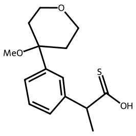 COC1(c2cccc(C(C)C(O)=S)c2)CCOCC1